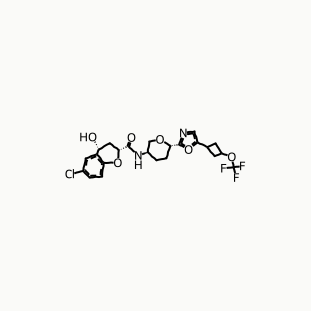 O=C(N[C@@H]1CC[C@@H](c2ncc(C3CC(OC(F)(F)F)C3)o2)OC1)[C@H]1C[C@@H](O)c2cc(Cl)ccc2O1